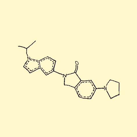 CC(C)n1ccc2cc(N3Cc4ccc(N5CCCC5)cc4C3=O)ccc21